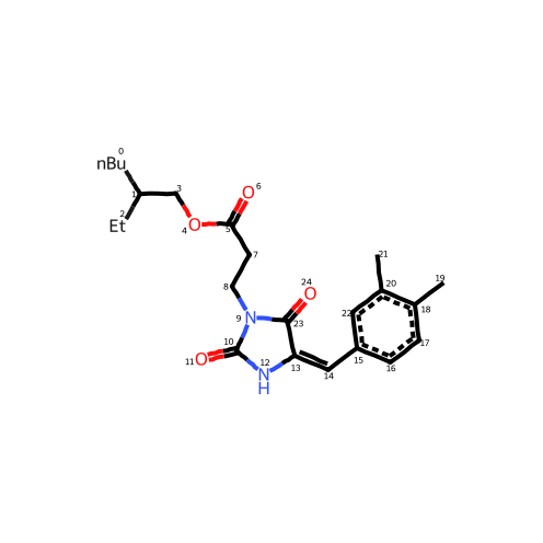 CCCCC(CC)COC(=O)CCN1C(=O)NC(=Cc2ccc(C)c(C)c2)C1=O